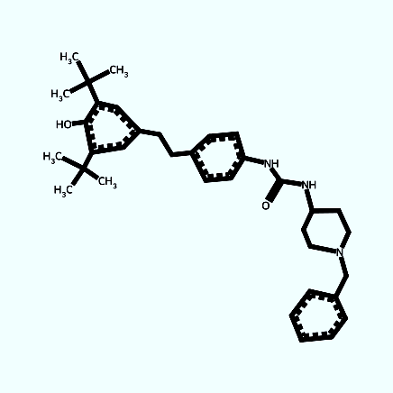 CC(C)(C)c1cc(CCc2ccc(NC(=O)NC3CCN(Cc4ccccc4)CC3)cc2)cc(C(C)(C)C)c1O